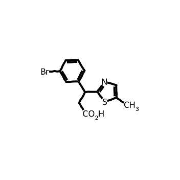 Cc1cnc(C(CC(=O)O)c2cccc(Br)c2)s1